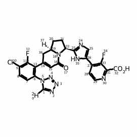 [2H]c1nnnn1-c1ccc(Cl)c(F)c1C1=CC(=O)N2[C@H](CC[C@H]2c2ncc(-c3ccnc(C(=O)O)c3F)[nH]2)C1